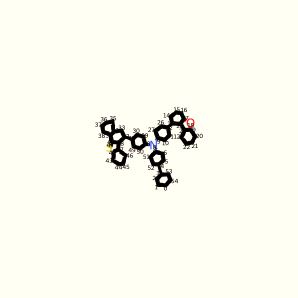 c1ccc(-c2ccc(N(c3ccc(-c4cccc5oc6ccccc6c45)cc3)c3ccc(-c4cc5ccccc5c5sc6ccccc6c45)cc3)cc2)cc1